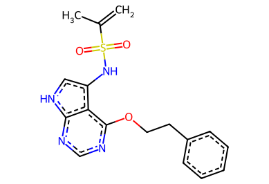 C=C(C)S(=O)(=O)Nc1c[nH]c2ncnc(OCCc3ccccc3)c12